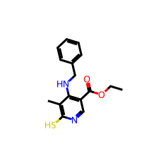 CCOC(=O)c1cnc(S)c(C)c1NCc1ccccc1